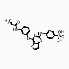 C=CC(=O)Nc1cccc(Oc2nc(Nc3ccc(P(=O)(O)O)cc3)nc3ccsc23)c1